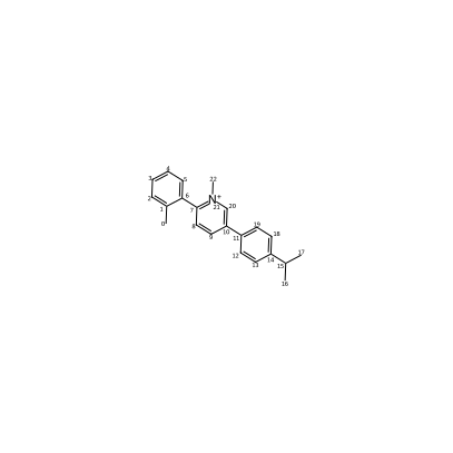 Cc1ccccc1-c1ccc(-c2ccc(C(C)C)cc2)c[n+]1C